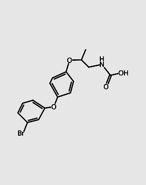 CC(CNC(=O)O)Oc1ccc(Oc2cccc(Br)c2)cc1